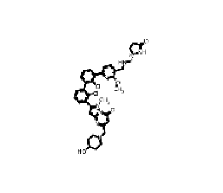 COc1nc(-c2cccc(-c3cccc(-c4cc5nc(CN6CCC(O)CC6)cc(=O)n5n4C)c3Cl)c2Cl)ccc1CNC[C@@H]1CCC(=O)N1